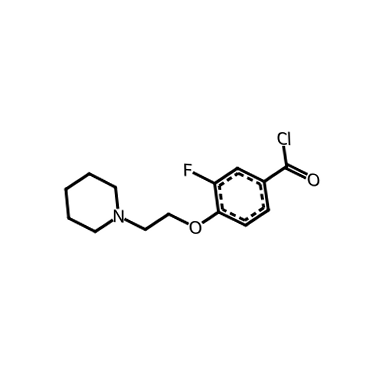 O=C(Cl)c1ccc(OCCN2CCCCC2)c(F)c1